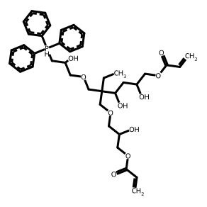 C=CC(=O)OCC(O)COCC(CC)(COCC(O)C[PH](c1ccccc1)(c1ccccc1)c1ccccc1)C(O)CC(O)COC(=O)C=C